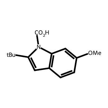 COc1ccc2cc(C(C)(C)C)n(C(=O)O)c2c1